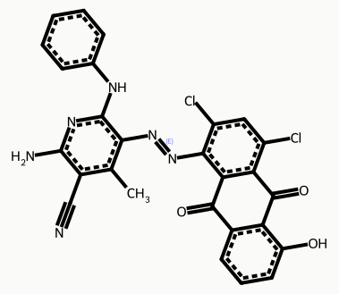 Cc1c(C#N)c(N)nc(Nc2ccccc2)c1/N=N/c1c(Cl)cc(Cl)c2c1C(=O)c1cccc(O)c1C2=O